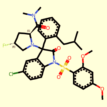 COc1ccc(S(=O)(=O)N2C(=O)C(c3ccccc3CC(C)C)(N3C[C@H](F)C[C@H]3C(=O)N(C)C)c3cc(Cl)ccc32)c(OC)c1